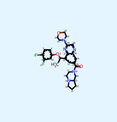 CC(Oc1ccc(F)c(F)c1)c1cc(C(=O)N2CCN3CCCC3C2)cc2ncc(N3CCOCC3)nc12